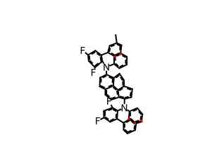 Cc1cccc(-c2cc(F)cc(F)c2N(c2ccccc2)c2ccc3ccc4c(N(c5ccccc5)c5c(F)cc(F)cc5-c5cccc(C)c5)ccc5ccc2c3c54)c1